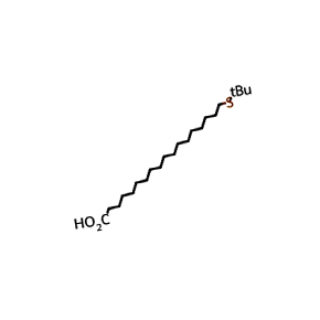 CC(C)(C)SCCCCCCCCCCCCCCCCCC(=O)O